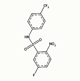 O=[N+]([O-])c1ccc(F)cc1S(=O)(=O)Nc1ccc(C(F)(F)F)cc1